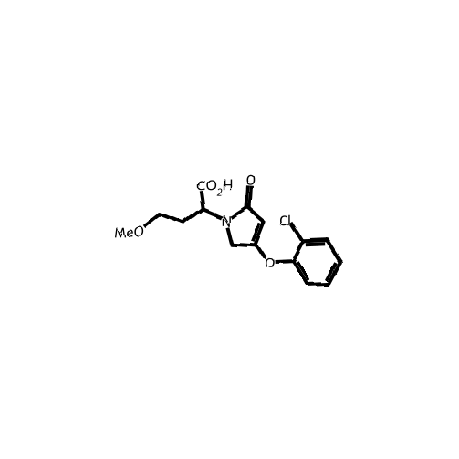 COCCC(C(=O)O)N1CC(Oc2ccccc2Cl)=CC1=O